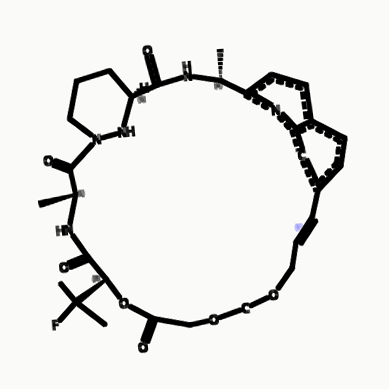 C[C@@H]1NC(=O)[C@H](C(C)(C)F)OC(=O)COCOC/C=C/c2ccc3ccc(nc3c2)[C@@H](C)NC(=O)[C@@H]2CCCN(N2)C1=O